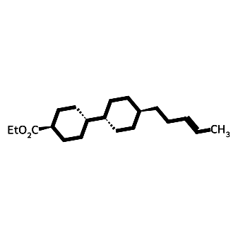 CC=CCC[C@H]1CC[C@H]([C@H]2CC[C@H](C(=O)OCC)CC2)CC1